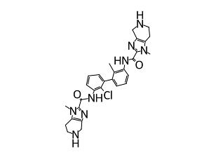 Cc1c(NC(=O)c2nc3c(n2C)CCNC3)cccc1-c1cccc(NC(=O)c2nc3c(n2C)CCNC3)c1Cl